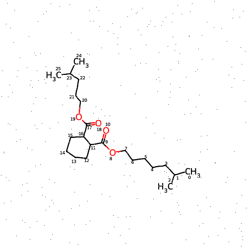 CC(C)CCCCCOC(=O)C1CCCCC1C(=O)OCCCC(C)C